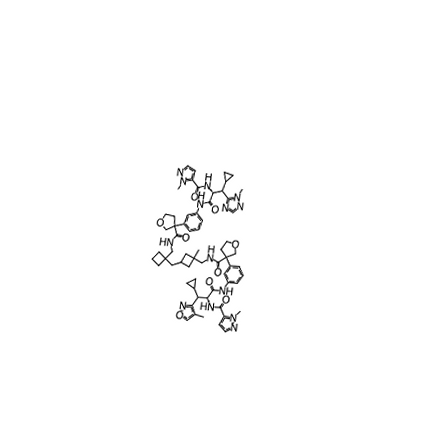 Cc1conc1C(C1CC1)[C@H](NC(=O)c1ccnn1C)C(=O)Nc1cccc(C2(C(=O)NCC3(C)CC(CC4(CNC(=O)C5(c6cccc(NC(=O)[C@@H](NC(=O)c7ccnn7C)C(c7ncnn7C)C7CC7)c6)CCOC5)CCC4)C3)CCOC2)c1